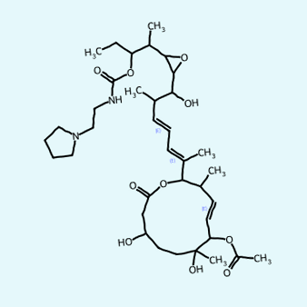 CCC(OC(=O)NCCN1CCCC1)C(C)C1OC1C(O)C(C)/C=C/C=C(\C)C1OC(=O)CC(O)CCC(C)(O)C(OC(C)=O)/C=C/C1C